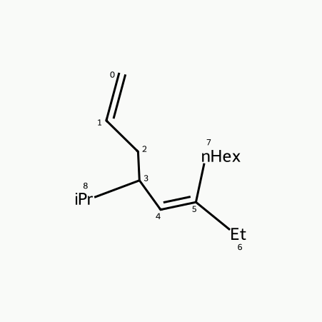 C=CCC(C=C(CC)CCCCCC)C(C)C